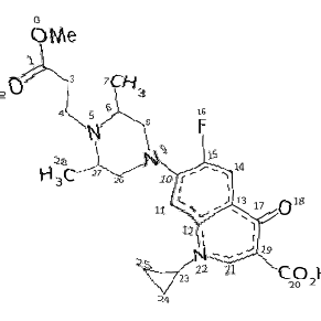 COC(=O)CCN1C(C)CN(c2cc3c(cc2F)c(=O)c(C(=O)O)cn3C2CC2)CC1C